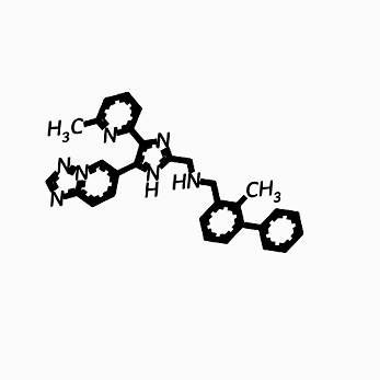 Cc1cccc(-c2nc(CNCc3cccc(-c4ccccc4)c3C)[nH]c2-c2ccc3ncnn3c2)n1